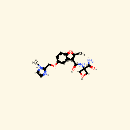 Cc1oc2ccc(OCc3nccn3C)cc2c1C(=O)NC1(C(N)=O)COC1